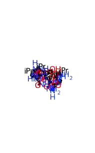 CC(C)C[C@H](NC(=O)[C@H](CCC(N)=O)NC(=O)[C@H](Cc1c[nH]cn1)NC(=O)[C@@H]1CCCN1C(=O)[C@H](CC(C)C)NC(=O)[C@@H](N)CC(C)C)C(=O)N[C@@H](Cc1ccc(O)cc1)C(=O)NCC(=O)N[C@H](C(=O)N[C@H](C(=O)N1CCC[C@H]1C(=O)N[C@@H](CCC(N)=O)C(=O)N[C@@H](C)C(=O)O)C(C)C)C(C)C